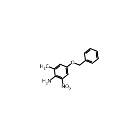 Cc1cc(OCc2ccccc2)cc([N+](=O)[O-])c1N